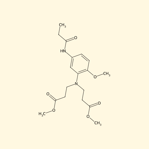 CCC(=O)Nc1ccc(OC)c(N(CCC(=O)OC)CCC(=O)OC)c1